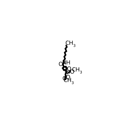 CCCCCCCCCCNC(=O)c1ccc(N(CC(=O)OC)CC(=O)OC)cc1